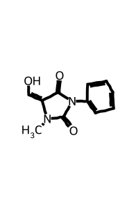 CN1C(=O)N(c2ccccc2)C(=O)/C1=C\O